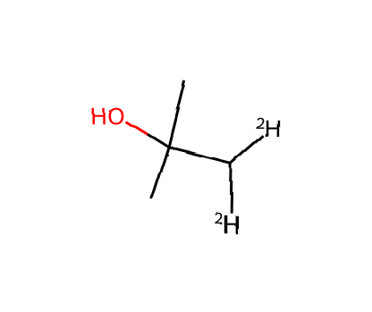 [2H]C([2H])C(C)(C)O